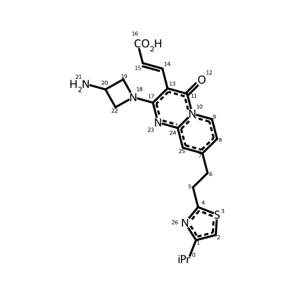 CC(C)c1csc(CCc2ccn3c(=O)c(C=CC(=O)O)c(N4CC(N)C4)nc3c2)n1